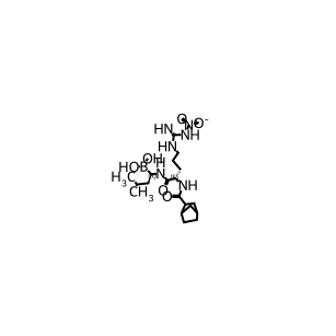 CC(C)C[C@H](NC(=O)[C@H](CCCNC(=N)N[N+](=O)[O-])NC(=O)C1CC2CCC1C2)B(O)O